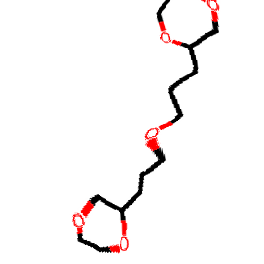 C(COCCCC1COCCO1)CC1COCCO1